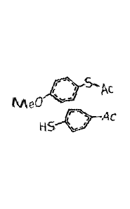 CC(=O)c1ccc(S)cc1.COc1ccc(SC(C)=O)cc1